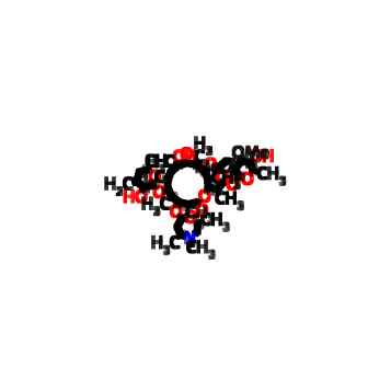 C=C1C[C@@H](C)O[C@@H](O[C@@H]2[C@@H](C)[C@H](O[C@H]3C[C@@H](C)N(C)C[C@H](C)O3)[C@@H](C)C(=O)O[C@H]([C@@H](C)CO[C@@H]3O[C@H](C)[C@@H](O)[C@@H](OC)[C@H]3OC)[C@H](C)[C@@H](OC(=O)CC(C)C)[C@@H](C)C(=O)[C@@](C)(O)C[C@@H]2C)[C@@H]1O